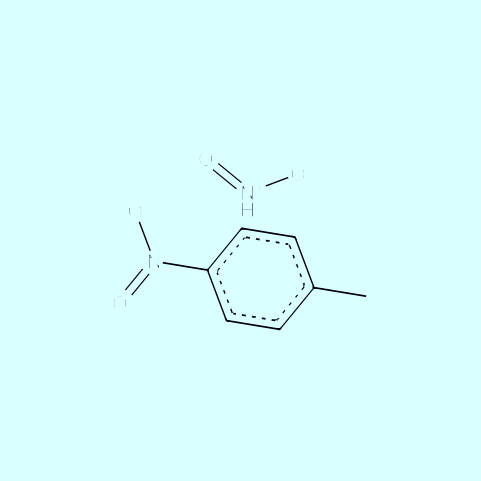 Cc1ccc([N+](=O)[O-])cc1.O=[NH+][O-]